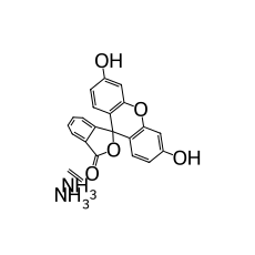 C=C.N.N.O=C1OC2(c3ccc(O)cc3Oc3cc(O)ccc32)c2ccccc21